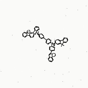 CC1(C)c2ccccc2-c2ccc(N(c3ccc(-c4ccc(-n5c6ccccc6c6c7oc8ccccc8c7ccc65)cc4)cc3)c3ccc(-c4cc5ccccc5o4)cc3)cc21